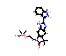 CC1(C)C(=O)N(CCO[Si](C)(C)C(C)(C)C)c2cc3[nH]c(-c4n[nH]c5ccccc45)nc3cc21